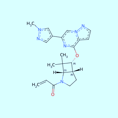 C=CC(=O)N1CC[C@H]2[C@@H](Oc3nc(-c4cnn(C)c4)cn4nccc34)C(C)(C)[C@H]21